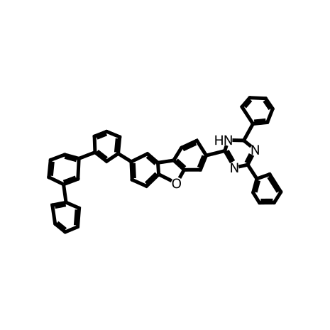 c1ccc(C2=NC(c3ccccc3)NC(c3ccc4c(c3)oc3ccc(-c5cccc(-c6cccc(-c7ccccc7)c6)c5)cc34)=N2)cc1